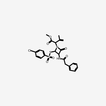 C=C(C)C(C(=O)OC)N1C(=O)C(NC(=O)Cc2ccccc2)C1SS(=O)(=O)c1ccc(Cl)cc1